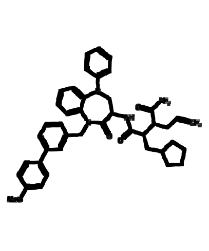 C=CC[C@H](C(N)=O)[C@@H](CC1CCCC1)C(=O)NC1CN(c2ccccc2)c2ccccc2N(Cc2cccc(-c3ccc(OC)cc3)c2)C1=O